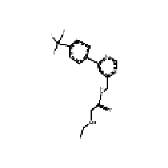 CCNCC(=O)NCc1cc(-c2ccc(C(F)(F)F)cc2)ncn1